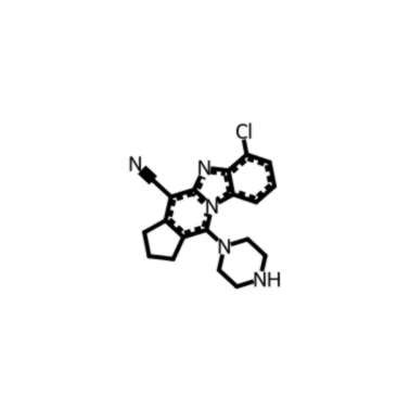 N#Cc1c2c(c(N3CCNCC3)n3c1nc1c(Cl)cccc13)CCC2